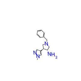 Cn1cc([C@H]2CN(Cc3ccccc3)C[C@@H]2N)cn1